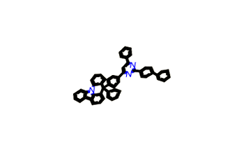 c1ccc(-c2ccc(-c3nc(-c4ccccc4)cc(-c4ccc(C5(c6ccccc6)c6ccccc6-n6c7ccccc7c7cccc5c76)cc4)n3)cc2)cc1